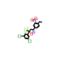 CCc1ccc(C2=NOC(c3cc(Cl)cc(Cl)c3)(C(F)(F)F)C2)cc1[N+](=O)[O-]